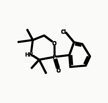 CC1(C)COP(=O)(c2ccccc2Cl)C(C)(C)N1